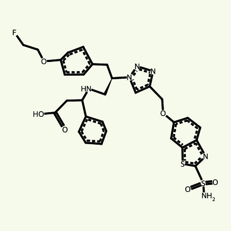 NS(=O)(=O)c1nc2ccc(OCc3cn([C@@H](CNC(CC(=O)O)c4ccccc4)Cc4ccc(OCCF)cc4)nn3)cc2s1